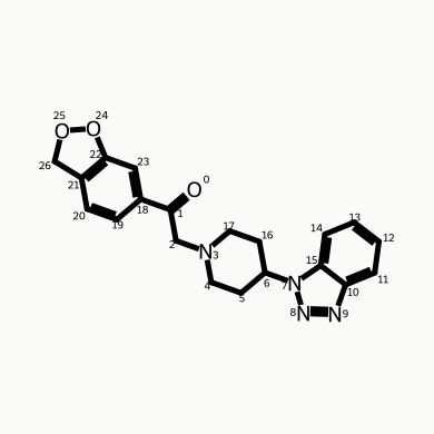 O=C(CN1CCC(n2nnc3ccccc32)CC1)c1ccc2c(c1)OOC2